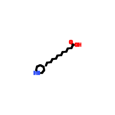 C1CCCNCC1.CCCCCCCCCCCC(=O)O